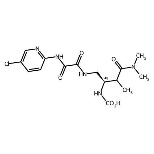 CC(C(=O)N(C)C)[C@H](CNC(=O)C(=O)Nc1ccc(Cl)cn1)NC(=O)O